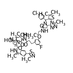 Cc1ncsc1-c1ccc([C@H](C)NC(=O)[C@@H]2C[C@@H](O)CN2C(=O)[C@@H](NC(=O)CCc2cc(F)cc(OC(C)CNC(=O)CC3N=C(c4ccc(Cl)cc4)c4c(sc(C)c4C)-n4c(C)nnc43)c2)C(C)(C)C)cc1